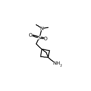 CN(C)S(=O)(=O)CC12CC(N)(C1)C2